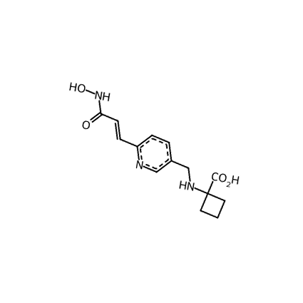 O=C(/C=C/c1ccc(CNC2(C(=O)O)CCC2)cn1)NO